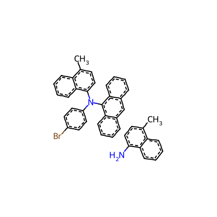 Cc1ccc(N(c2ccc(Br)cc2)c2c3ccccc3cc3ccccc23)c2ccccc12.Cc1ccc(N)c2ccccc12